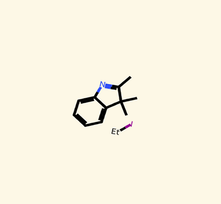 CC1=Nc2ccccc2C1(C)C.CCI